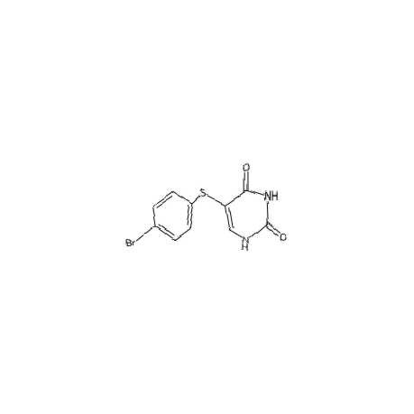 O=c1[nH]cc(Sc2ccc(Br)cc2)c(=O)[nH]1